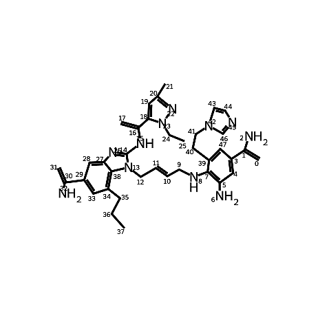 C=C(N)c1cc(N)c(NC/C=C/Cn2c(NC(=C)c3cc(C)nn3CC)nc3cc(C(=C)N)cc(CCC)c32)c(CCn2ccnc2)c1